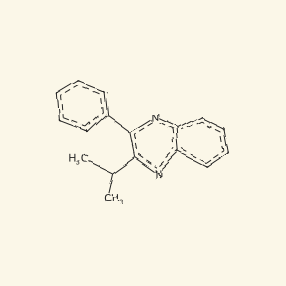 CC(C)c1nc2ccccc2nc1-c1[c]cccc1